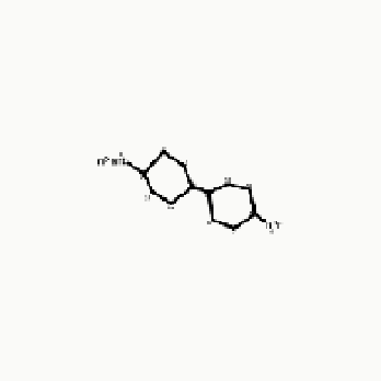 CCCCCC1CC[C](C2CCC(CCC)CC2)CC1